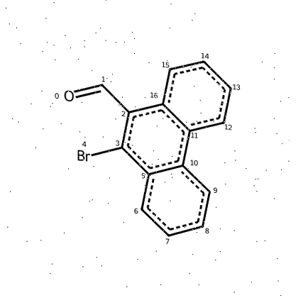 O=Cc1c(Br)c2ccccc2c2ccccc12